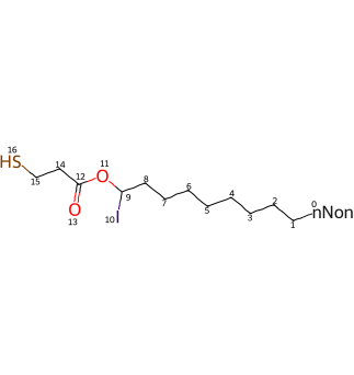 CCCCCCCCCCCCCCCCCC(I)OC(=O)CCS